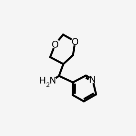 NC(c1cccnc1)C1COCOC1